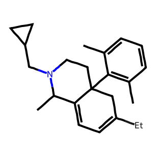 CCC1=CC=C2C(C)N(CC3CC3)CCC2(c2c(C)cccc2C)C1